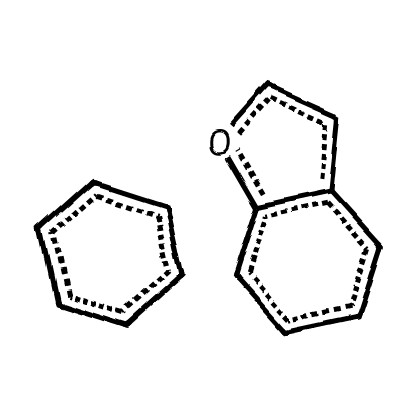 c1ccc2occc2c1.c1ccccc1